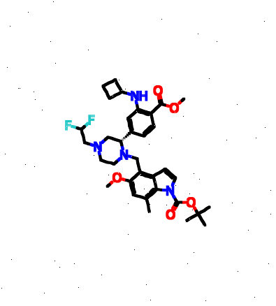 COC(=O)c1ccc([C@H]2CN(CC(F)F)CCN2Cc2c(OC)cc(C)c3c2ccn3C(=O)OC(C)(C)C)cc1NC1CCC1